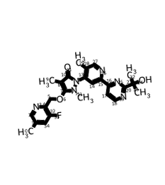 Cc1cnc(COc2c(C)c(=O)n(-c3cc(-c4ccnc(C(C)(C)O)n4)ncc3C)n2C)c(F)c1